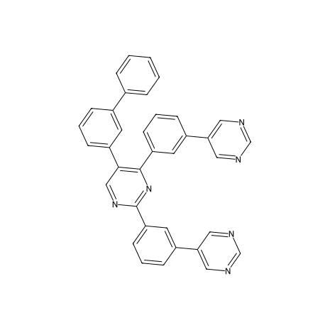 c1ccc(-c2cccc(-c3cnc(-c4cccc(-c5cncnc5)c4)nc3-c3cccc(-c4cncnc4)c3)c2)cc1